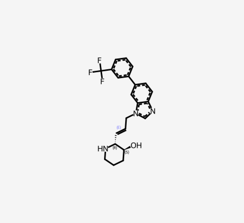 O[C@H]1CCCN[C@@H]1/C=C/Cn1cnc2ccc(-c3cccc(C(F)(F)F)c3)cc21